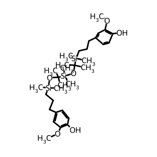 COc1cc(CCC[Si](C)(C)OC(C)(C)[Si](C)(C)OC(C)(C)[Si](C)(C)CCCc2ccc(O)c(OC)c2)ccc1O